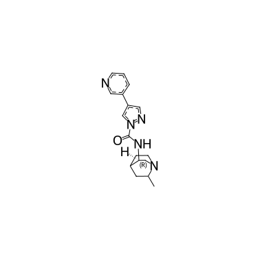 CC1CC2CCN1C[C@@H]2NC(=O)n1cc(-c2cccnc2)cn1